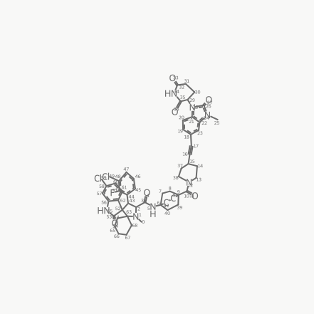 CN1C(C(=O)NC23CCC(C(=O)N4CCC(C#Cc5ccc6c(c5)n(C)c(=O)n6C5CCC(=O)NC5=O)CC4)(CC2)CC3)C(c2cccc(Cl)c2F)C2(C(=O)Nc3cc(Cl)ccc32)C12CCCCC2